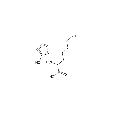 NCCCCC(N)C(=O)O.Oc1ccco1